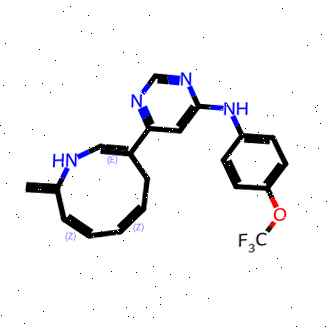 C=C1/C=C\C=C/C/C(c2cc(Nc3ccc(OC(F)(F)F)cc3)ncn2)=C\N1